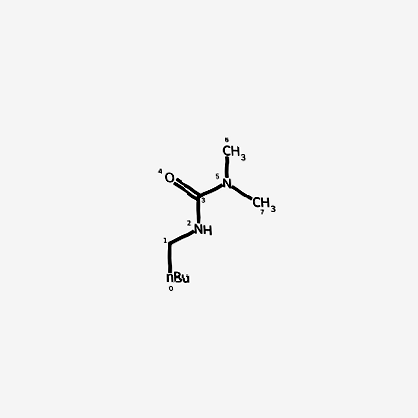 CCCCCNC(=O)N(C)C